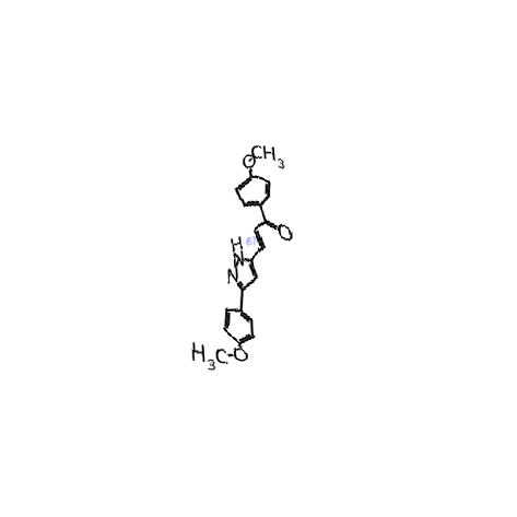 COc1ccc(C(=O)/C=C/c2cc(-c3ccc(OC)cc3)n[nH]2)cc1